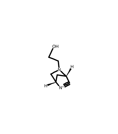 OCCN1C[C@@H]2C[C@H]1C#[N+]2